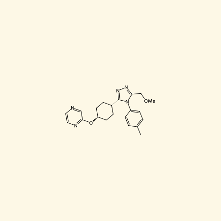 COCc1nnc([C@H]2CC[C@H](Oc3cnccn3)CC2)n1-c1ccc(C)cc1